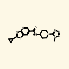 Cn1nnnc1N1CCC(NC(=O)c2cnc3nc(C4CC4)sc3c2)CC1